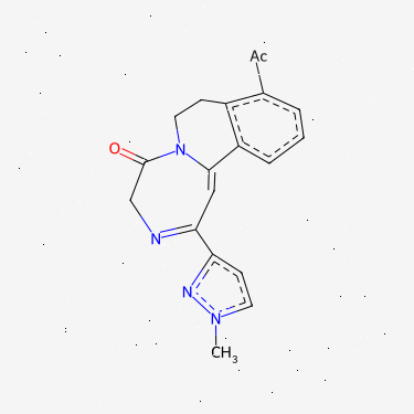 CC(=O)c1cccc2c1CCN1C(=O)CN=C(c3ccn(C)n3)C=C21